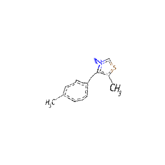 Cc1ccc(-c2ncsc2C)cc1